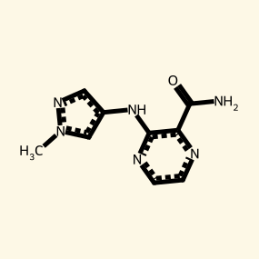 Cn1cc(Nc2nccnc2C(N)=O)cn1